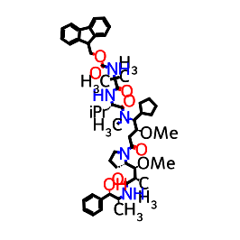 CO[C@H]([C@@H](C)C(=O)N[C@H](C)[C@@H](O)c1ccccc1)[C@@H]1CCCN1C(=O)C[C@@H](OC)[C@H](C1CCCC1)N(C)C(=O)[C@@H](NC(=O)C(C)(C)NC(=O)OCC1c2ccccc2-c2ccccc21)C(C)C